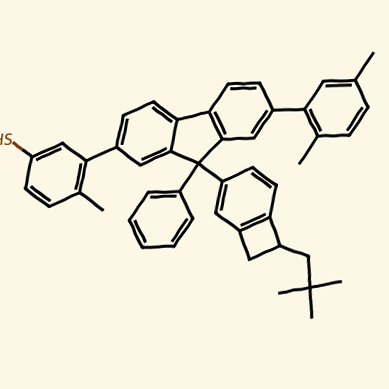 Cc1ccc(C)c(-c2ccc3c(c2)C(c2ccccc2)(c2ccc4c(c2)CC4CC(C)(C)C)c2cc(-c4cc(S)ccc4C)ccc2-3)c1